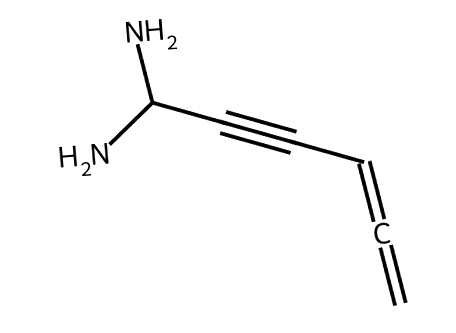 C=C=CC#CC(N)N